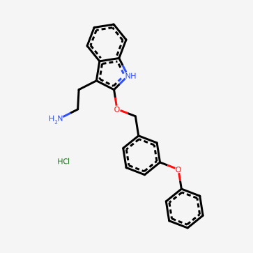 Cl.NCCc1c(OCc2cccc(Oc3ccccc3)c2)[nH]c2ccccc12